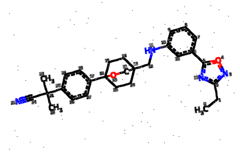 CCc1noc(-c2cccc(NCC34CCC(c5ccc(C(C)(C)C#N)cc5)(CC3)OC4)c2)n1